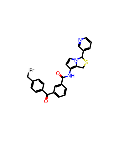 CC(C)Cc1ccc(C(=O)c2cccc(C(=O)Nc3ccn4c3CSC4c3cccnc3)c2)cc1